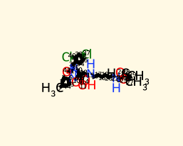 Cc1ccc(N2CC(CC(=O)O)(CC(=O)NCCCCCCNC(=O)OC(C)(C)C)CN(Cc3ccc(Cl)cc3Cl)C2=O)cc1